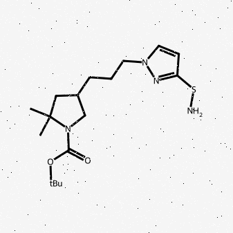 CC(C)(C)OC(=O)N1CC(CCCn2ccc(SN)n2)CC1(C)C